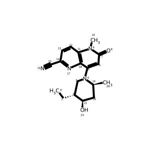 CC[C@@H]1CN(c2cc(=O)n(C)c3ccc(C#N)nc23)[C@@H](C)C[C@H]1O